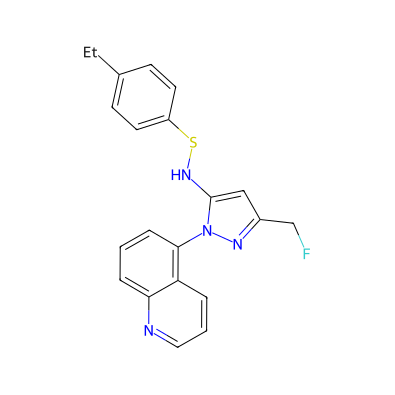 CCc1ccc(SNc2cc(CF)nn2-c2cccc3ncccc23)cc1